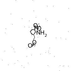 Nc1c(CCO[C@H]2CO2)cccc1[N+](=O)[O-]